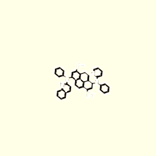 CC(C)C1=CC(N(c2ccccc2)c2ccccn2)C2=CCc3c(C(C)C)cc(N(c4ccccc4)c4ccc5ccccc5n4)c4ccc1c2c34